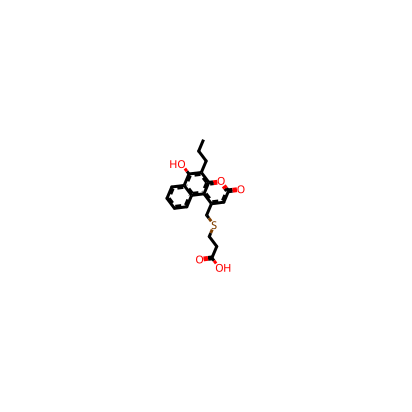 CCCc1c(O)c2ccccc2c2c(CSCCC(=O)O)cc(=O)oc12